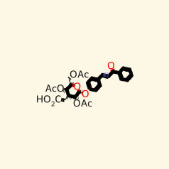 CC(=O)OC[C@@H]1O[C@H](Oc2ccc(/C=C/C(=O)c3ccccc3)cc2)[C@H](OC(C)=O)[C@H](CC(=O)O)[C@H]1OC(C)=O